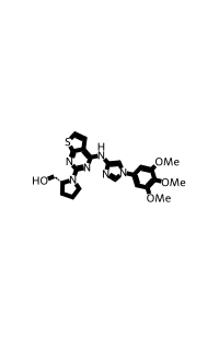 COc1cc(-n2cnc(Nc3nc(N4CCC[C@@H]4CO)nc4sccc34)c2)cc(OC)c1OC